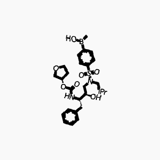 CB(O)c1ccc(S(=O)(=O)N(CC(C)C)C[C@@H](O)[C@H](Cc2ccccc2)NC(=O)O[C@H]2CCOC2)cc1